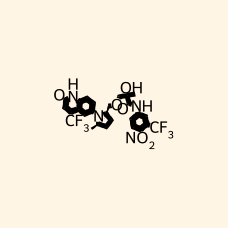 C[C@@H]1CC[C@H](COCC(C)(O)C(=O)Nc2ccc([N+](=O)[O-])c(C(F)(F)F)c2)N1c1ccc2[nH]c(=O)cc(C(F)(F)F)c2c1